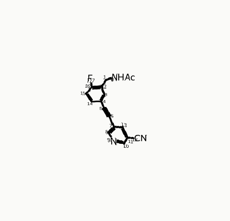 CC(=O)NCc1cc(C#Cc2cncc(C#N)c2)ccc1F